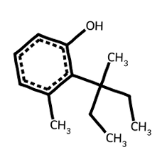 CCC(C)(CC)c1c(C)cccc1O